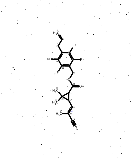 C=CCc1c(F)c(F)c(COC(=O)C2C(/C=C(\C)C#N)C2(C)C)c(F)c1F